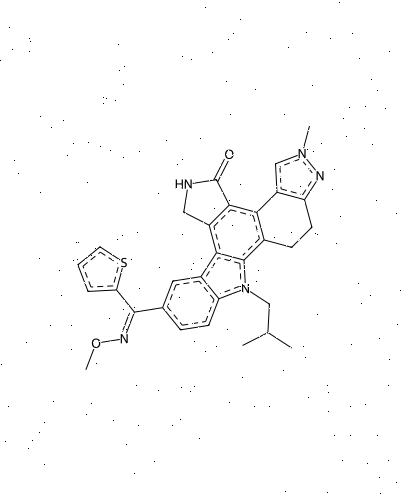 CON=C(c1ccc2c(c1)c1c3c(c4c(c1n2CC(C)C)CCc1nn(C)cc1-4)C(=O)NC3)c1cccs1